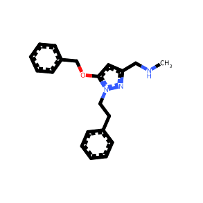 CNCc1cc(OCc2ccccc2)n(CCc2ccccc2)n1